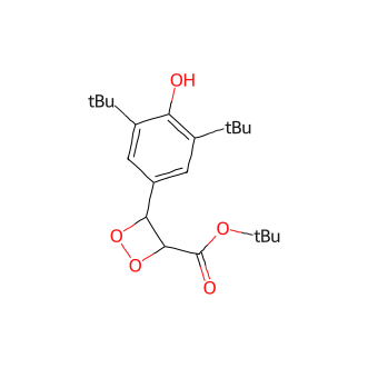 CC(C)(C)OC(=O)C1OOC1c1cc(C(C)(C)C)c(O)c(C(C)(C)C)c1